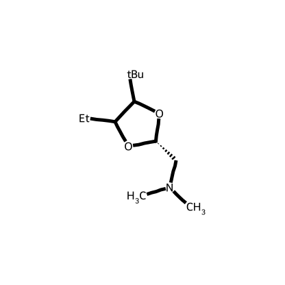 CCC1O[C@@H](CN(C)C)OC1C(C)(C)C